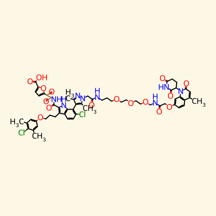 Cc1cc(OCCCc2c(C(=O)NS(=O)(=O)c3ccc(C(=O)O)o3)[nH]c3c(-c4c(C)nn(CC(=O)NCCCOCCOCCOCNC(=O)COc5ccc6c(C)cc(=O)n(C7CCC(=O)NC7=O)c6c5)c4C)c(Cl)ccc23)cc(C)c1Cl